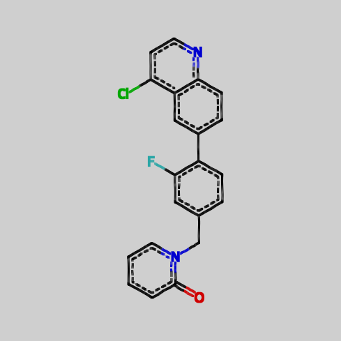 O=c1ccccn1Cc1ccc(-c2ccc3nccc(Cl)c3c2)c(F)c1